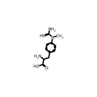 CN(C(=N)N)c1ccc(CC(N)C(=O)O)cc1